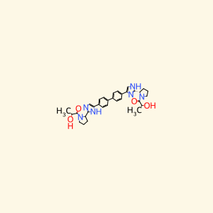 C[C@H](O)C(=O)N1CCCC1c1ncc(-c2ccc(-c3ccc(-c4c[nH]c([C@@H]5CCCN5C(=O)[C@H](C)O)n4)cc3)cc2)[nH]1